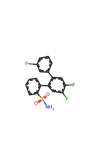 NS(=O)(=O)c1ccccc1-c1cc(F)c(F)cc1-c1cccc(F)c1